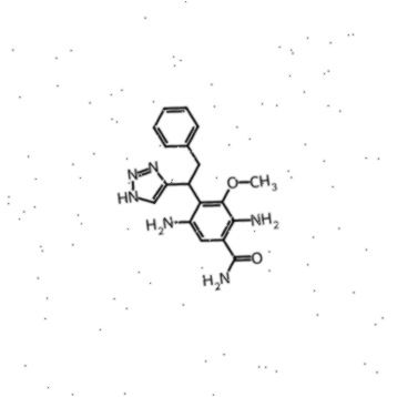 COc1c(N)c(C(N)=O)cc(N)c1C(Cc1ccccc1)c1c[nH]nn1